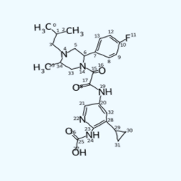 CC(C)CN1CC(c2ccc(F)cc2)N(C(=O)C(=O)Nc2cnc(NC(=O)O)c(C3CC3)c2)CC1C